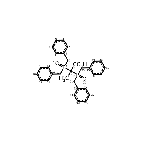 CC(C(=O)O)(P(=O)(Cc1ccccc1)Cc1ccccc1)P(=O)(Cc1ccccc1)Cc1ccccc1